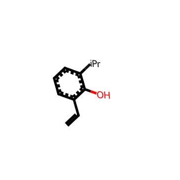 C=Cc1cccc(C(C)C)c1O